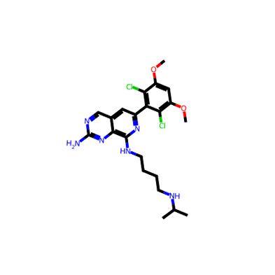 COc1cc(OC)c(Cl)c(-c2cc3cnc(N)nc3c(NCCCCNC(C)C)n2)c1Cl